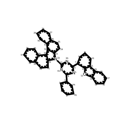 c1ccc(-c2nc(-c3cccc4c3oc3ccccc34)nc(-n3c4ccc5ccccc5c4c4c5ccccc5ccc43)n2)cc1